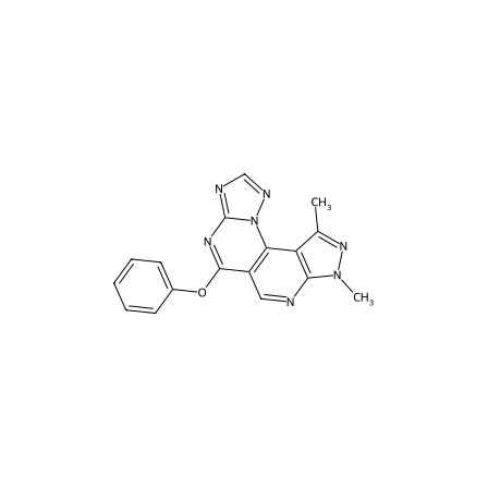 Cc1nn(C)c2ncc3c(Oc4ccccc4)nc4ncnn4c3c12